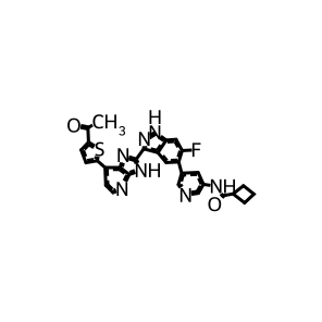 CC(=O)c1ccc(-c2ccnc3[nH]c(-c4n[nH]c5cc(F)c(-c6cncc(NC(=O)C7CCC7)c6)cc45)nc23)s1